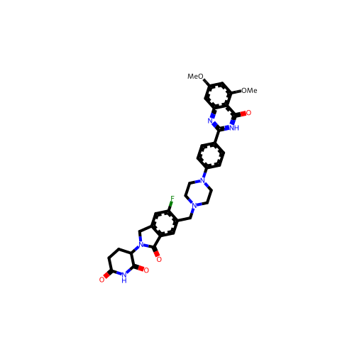 COc1cc(OC)c2c(=O)[nH]c(-c3ccc(N4CCN(Cc5cc6c(cc5F)CN(C5CCC(=O)NC5=O)C6=O)CC4)cc3)nc2c1